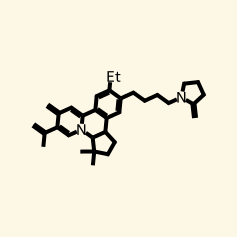 C=C(C)C1=CN2C(=CC1=C)c1cc(CC)c(CCCCN3CCCC3=C)cc1C1CCC(C)(C)C12